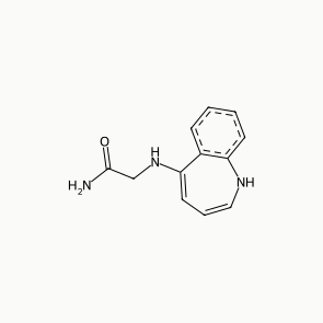 NC(=O)CNC1=CC=CNc2ccccc21